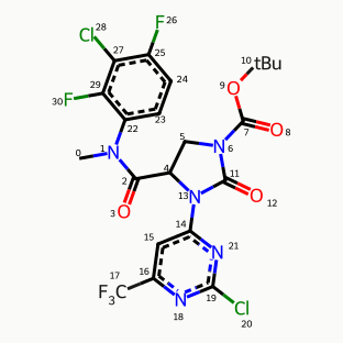 CN(C(=O)C1CN(C(=O)OC(C)(C)C)C(=O)N1c1cc(C(F)(F)F)nc(Cl)n1)c1ccc(F)c(Cl)c1F